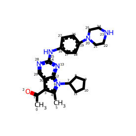 CC(=O)c1c(C)n(C2CCCC2)c2nc(Nc3ccc(N4CCNCC4)cc3)ncc12